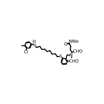 CNC(=O)CCC(C=O)N(C)Cc1c(C=O)cccc1SCCCCCCCCCNc1ccc(C)c(Cl)c1